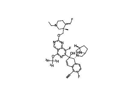 [2H]C([2H])([2H])Oc1nc(C2(O)C=Cc3c(ccc(F)c3C#C)[C@H]2N2CC3CC[C@@H](C2)N3)c(F)c2nc(OC[C@]3(C)CN(CC)CC/C3=C\F)ncc12